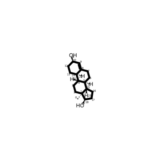 C[C@]12CC[C@H]3[C@@H](CCC4=C[C@H](O)CC[C@@H]43)[C@@H]1CC[C@H]2O